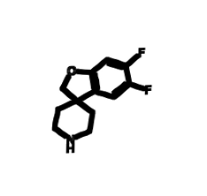 Fc1cc2c(cc1F)C1(CCNCC1)CO2